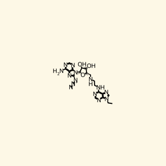 CCn1cnc2c(NCCNC[C@H]3O[C@@H](n4c(N=[N+]=[N-])nc5c(N)ncnc54)C(O)[C@H]3O)ncnc21